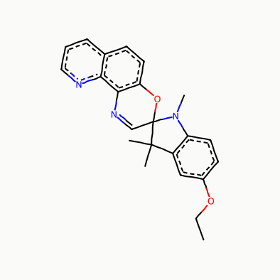 CCOc1ccc2c(c1)C(C)(C)C1(C=Nc3c(ccc4cccnc34)O1)N2C